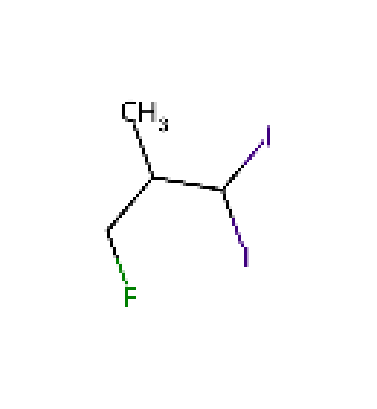 CC(CF)C(I)I